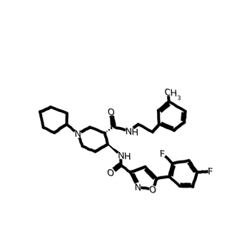 Cc1cccc(CCNC(=O)[C@H]2CN(C3CCCCC3)CC[C@@H]2NC(=O)c2cc(-c3ccc(F)cc3F)on2)c1